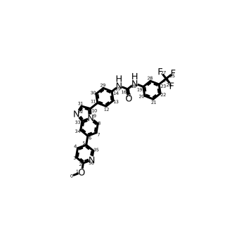 COc1ccc(-c2ccn3c(-c4ccc(NC(=O)Nc5cccc(C(F)(F)F)c5)cc4)cnc3c2)cn1